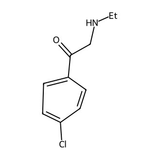 CCNCC(=O)c1ccc(Cl)cc1